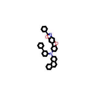 c1ccc(-c2cccc(N(c3ccc4ccc5ccccc5c4c3)c3ccc4oc5cc6nc(-c7ccccc7)oc6cc5c4c3)c2)cc1